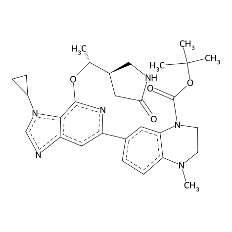 C[C@@H](Oc1nc(-c2ccc3c(c2)N(C(=O)OC(C)(C)C)CCN3C)cc2ncn(C3CC3)c12)[C@H]1CNC(=O)C1